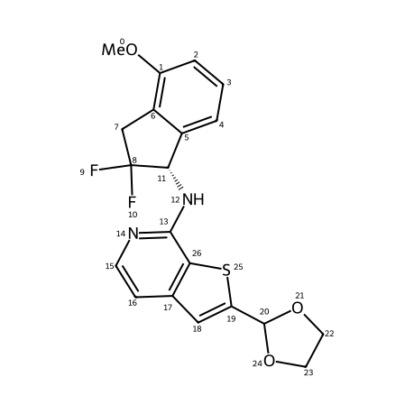 COc1cccc2c1CC(F)(F)[C@H]2Nc1nccc2cc(C3OCCO3)sc12